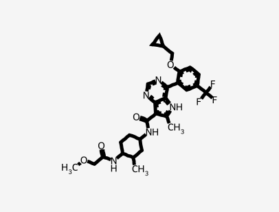 COCC(=O)NC1CCC(NC(=O)c2c(C)[nH]c3c(-c4cc(C(F)(F)F)ccc4OCC4CC4)ncnc23)CC1C